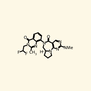 CNc1ncc2c(n1)N1CCC[C@H]1CN(c1cccc3c(=O)n(CC(F)F)c(C)nc13)C2=O